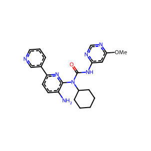 COc1cc(NC(=O)N(c2nc(-c3cccnc3)ccc2N)C2CCCCC2)ncn1